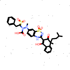 CC(C)CCC1(C)C(=O)C(C2=NS(=O)(=O)c3cc(N(C)N(C(=O)O)C(Cc4ccccc4)=S(=O)=O)ccc3N2)=C(O)c2ccccc21